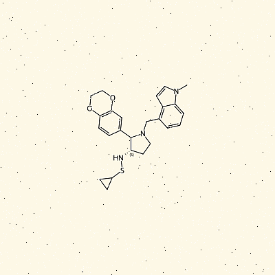 Cn1ccc2c(CN3CC[C@H](NSC4CC4)C3c3ccc4c(c3)OCCO4)cccc21